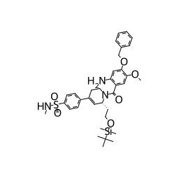 CNS(=O)(=O)c1ccc(C2=C[C@@H](CCO[Si](C)(C)C(C)(C)C)N(C(=O)c3cc(OC)c(OCc4ccccc4)cc3N)CC2)cc1